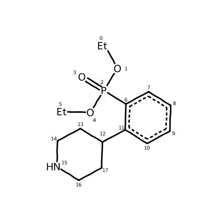 CCOP(=O)(OCC)c1ccccc1C1CCNCC1